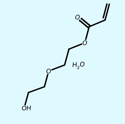 C=CC(=O)OCCOCCO.O